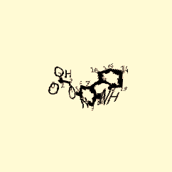 O=C(O)COc1cc2c(cn1)[nH]c1ccccc12